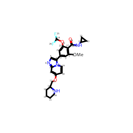 COc1cc(-c2cnc3cc(OCC4CCCCN4)ccn23)cc(OC(F)F)c1C(=O)NC1CC1